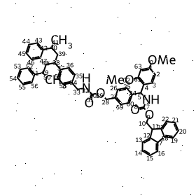 COc1ccc(C(NC(=O)OCC2c3ccccc3-c3ccccc32)c2ccc(COC(=O)NCc3ccc(C(CC(C)c4ccccc4)CC(C)c4ccccc4)cc3)cc2)c(OC)c1